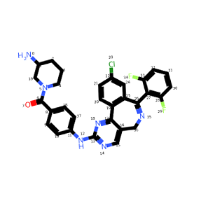 NC1CCCN(C(=O)c2ccc(Nc3ncc4c(n3)-c3ccc(Cl)cc3C(c3c(F)cccc3F)=NC4)cc2)C1